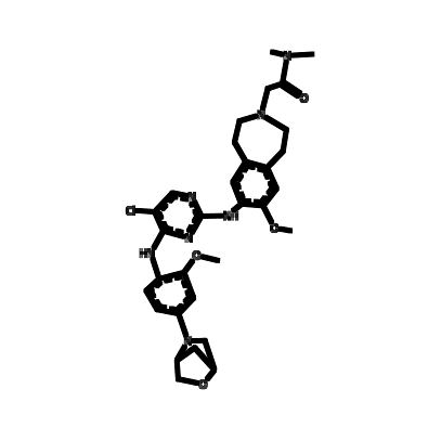 COc1cc2c(cc1Nc1ncc(Cl)c(Nc3ccc(N4CC5CC4CO5)cc3OC)n1)CCN(CC(=O)N(C)C)CC2